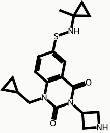 CC1(NSc2ccc3c(c2)c(=O)n(C2CNC2)c(=O)n3CC2CC2)CC1